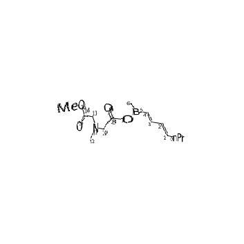 CCC/C=C/C=C/B(C)OC(=O)CN(C)CC(=O)OC